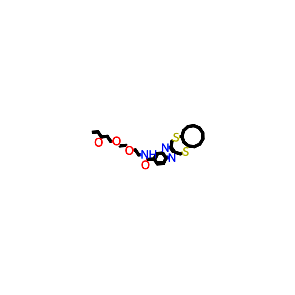 CCC(=O)CCOCCOCCNC(=O)c1ccc2nc3c(nc2c1)CSC1CCCCCCCCC(C1)SC3